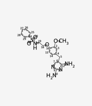 COc1cc(Cc2cnc(N)nc2N)ccc1OCCNS(=O)(=O)c1ccccc1